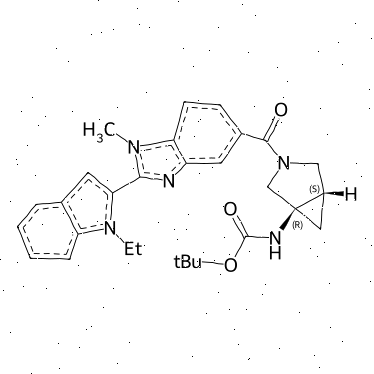 CCn1c(-c2nc3cc(C(=O)N4C[C@@H]5C[C@]5(NC(=O)OC(C)(C)C)C4)ccc3n2C)cc2ccccc21